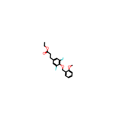 CCOC(=O)CCc1cc(F)c(OCc2ccccc2OC)c(F)c1